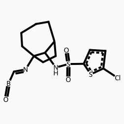 O=B/C=N/C12CCCCC(CC1)C2NS(=O)(=O)c1ccc(Cl)s1